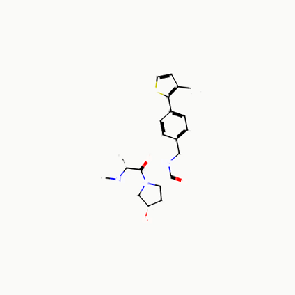 Cc1ccsc1-c1ccc(CNC(=O)[C@@H]2C[C@@H](O)CN2C(=O)[C@@H](NC(C)(C)C)C(C)(C)C)cc1